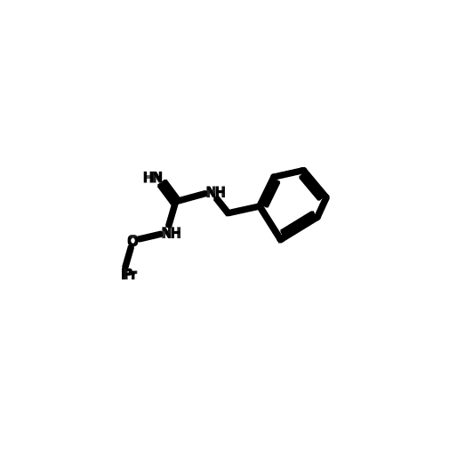 CC(C)ONC(=N)NCc1ccccc1